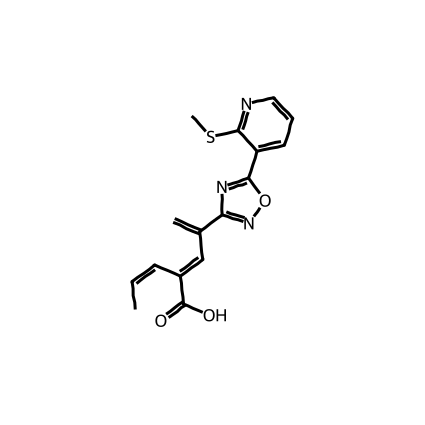 C=C(/C=C(\C=C/C)C(=O)O)c1noc(-c2cccnc2SC)n1